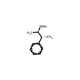 CN[C@H](C)[C@H](C)c1ccccc1